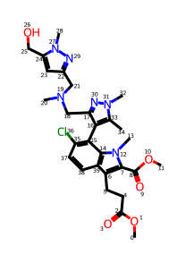 COC(=O)CCc1c(C(=O)OC)n(C)c2c(-c3c(CN(C)Cc4cc(CO)n(C)n4)nn(C)c3C)c(Cl)ccc12